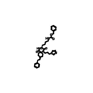 O=C(NCCCC[C@@H]1NC(=O)C2(CCN(CCc3ccccc3)CC2)N(CCCn2ccnc2)C1=O)OCc1ccccc1